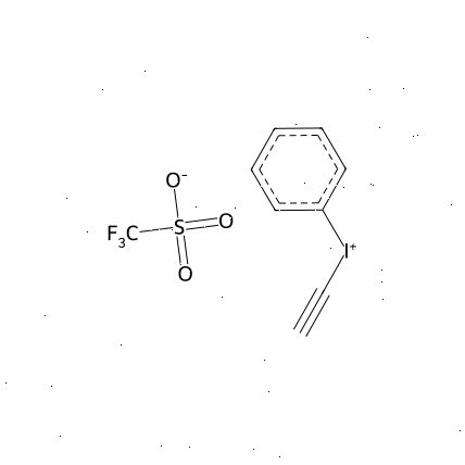 C#C[I+]c1ccccc1.O=S(=O)([O-])C(F)(F)F